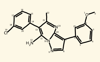 COc1cccc(-c2cnn3c(N)c(-c4cccc(Cl)c4)c(C)nc23)c1